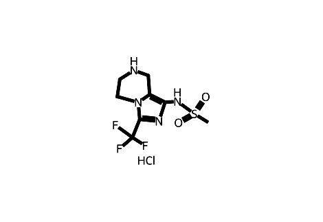 CS(=O)(=O)Nc1nc(C(F)(F)F)n2c1CNCC2.Cl